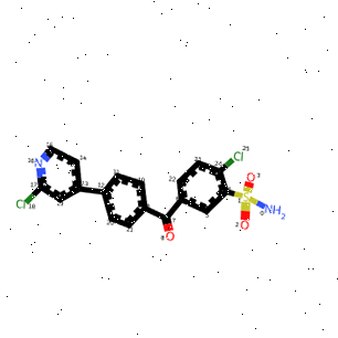 NS(=O)(=O)c1cc(C(=O)c2ccc(-c3ccnc(Cl)c3)cc2)ccc1Cl